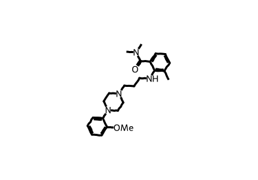 COc1ccccc1N1CCN(CCCNc2c(C)cccc2C(=O)N(C)C)CC1